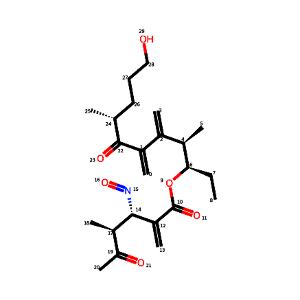 C=C(C(=C)[C@@H](C)[C@@H](CC)OC(=O)C(=C)[C@@H](N=O)[C@H](C)C(C)=O)C(=O)[C@H](C)CCCO